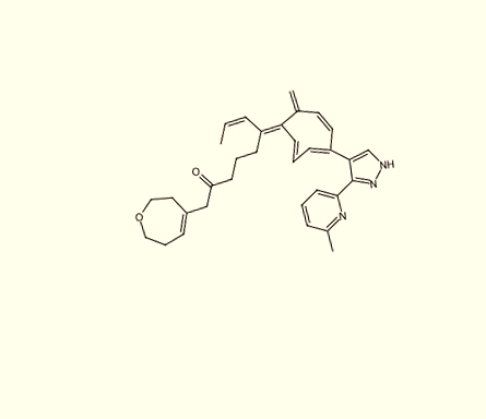 C=C1\C=C/C(c2c[nH]nc2-c2cccc(C)n2)=C/C=C/C1=C(/C=C\C)CCCC(=O)CC1=CCCOCC1